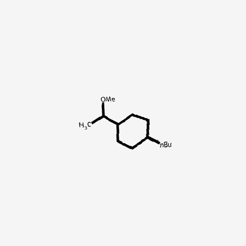 CCCCC1CCC(C(C)OC)CC1